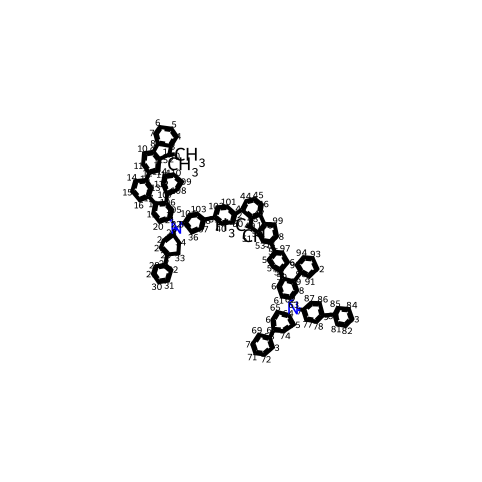 CC1(C)c2ccccc2-c2ccc(-c3cccc(-c4ccc(N(C5=CC=C(c6ccccc6)CC5)c5ccc(-c6ccc(-c7cccc8c7C(C)(C)c7cc(-c9ccc(-c%10ccc(N(c%11ccc(-c%12ccccc%12)cc%11)c%11ccc(-c%12ccccc%12)cc%11)cc%10-c%10ccccc%10)cc9)ccc7-8)cc6)cc5)cc4-c4ccccc4)c3)cc21